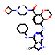 N#Cc1c[nH]c2nc(Nc3ccc(C(=O)N4CCN(C5COC5)CC4)c4c3OCCO4)nc(NC3CCCCC3)c12